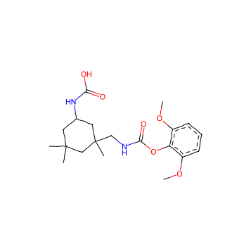 COc1cccc(OC)c1OC(=O)NCC1(C)CC(NC(=O)O)CC(C)(C)C1